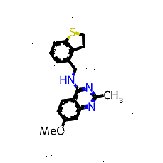 COc1ccc2c(NCc3cccc4c3CCS4)nc(C)nc2c1